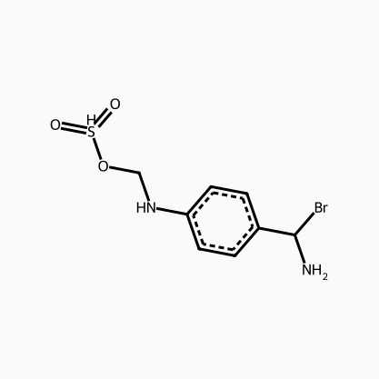 NC(Br)c1ccc(NCO[SH](=O)=O)cc1